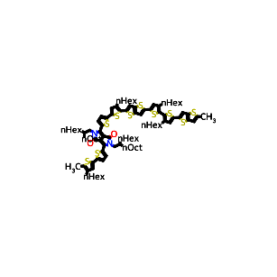 CCCCCCCCC(CCCCCC)CN1C(=O)C2=C(c3ccc(-c4cc(CCCCCC)c(-c5cc6sc(-c7cc(CCCCCC)c(-c8sc(-c9cc%10sc(C)cc%10s9)cc8CCCCCC)s7)cc6s5)s4)s3)N(CC(CCCCCC)CCCCCCCC)C(=O)C2=C1c1ccc(-c2cc(CCCCCC)c(C)s2)s1